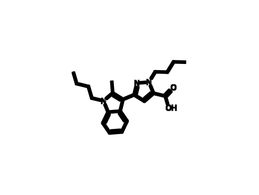 CCCCn1nc(-c2c(C)n(CCCC)c3ccccc23)cc1C(=O)O